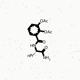 CCC[C@H](NC(=O)c1cccc(OC(C)=O)c1OC(C)=O)C(N)=O